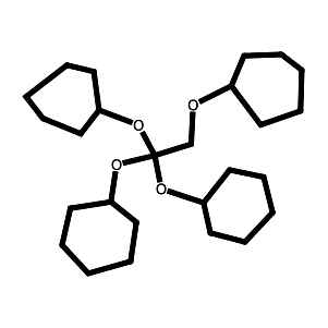 C1CCC(OCC(OC2CCCCC2)(OC2CCCCC2)OC2CCCCC2)CC1